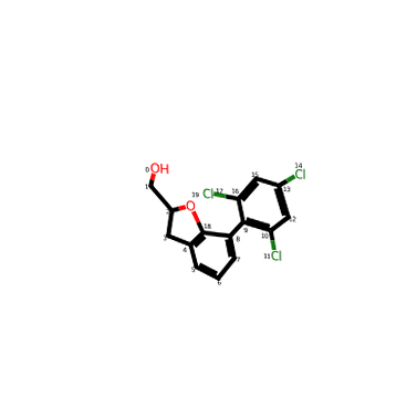 OCC1Cc2cccc(-c3c(Cl)cc(Cl)cc3Cl)c2O1